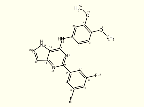 COc1ccc(Nc2nc(-c3cc(F)cc(F)c3)nc3cn[nH]c23)cc1OC